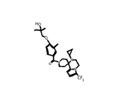 Cc1cc(C(=O)N2CCC3(CC2)c2ccc(C(F)(F)F)n2CCN3C2CC2)ccc1OCC(C)(C)O